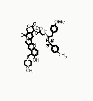 CC[C@@]1(OC(=O)CNC(Cc2ccc(OC)cc2)=NS(=O)(=O)c2ccc(C)cc2)C(=O)OCc2c1cc1n(c2=O)Cc2cc3c(CN4CCN(C)CC4)c(O)ccc3nc2-1